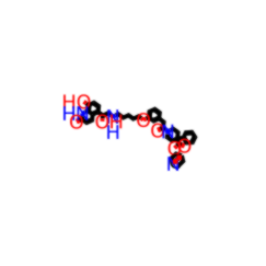 O=C(Cc1cccc(OCCCCCNCC(O)c2ccc(O)c3[nH]c(=O)ccc23)c1)N1CCC(C(=O)OC2CN3CCC2CC3)(c2ccccc2)CC1